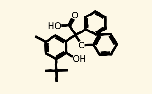 Cc1cc(C(C)(C)C)c(O)c(C(Oc2ccccc2)(C(=O)O)c2ccccc2)c1